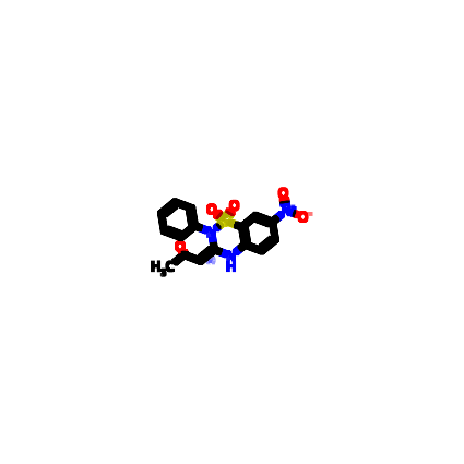 CC(=O)/C=C1/Nc2ccc([N+](=O)[O-])cc2S(=O)(=O)N1c1ccccc1